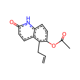 C=CCc1c(OC(C)=O)ccc2[nH]c(=O)ccc12